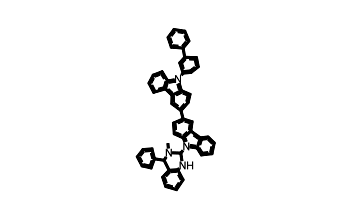 CN1C(c2ccccc2)c2ccccc2NC1n1c2ccccc2c2cc(-c3ccc4c(c3)c3ccccc3n4-c3cccc(-c4ccccc4)c3)ccc21